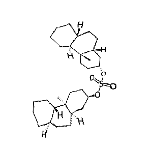 C[C@]12CC[C@@H](OS(=O)(=O)O[C@@H]3CC[C@@]4(C)[C@H](CC[C@H]5CCCC[C@@H]54)C3)C[C@H]1CC[C@H]1CCCC[C@@H]12